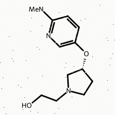 CNc1ccc(O[C@@H]2CCN(CCO)C2)cn1